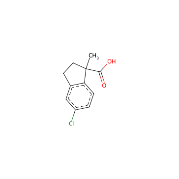 CC1(C(=O)O)CCc2cc(Cl)ccc21